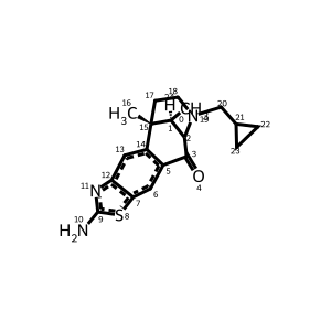 C[C@H]1C2C(=O)c3cc4sc(N)nc4cc3[C@]1(C)CCN2CC1CC1